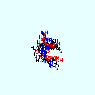 CC(C)CC(NC(=O)C(C)NC(=O)C1CCCN1C(=O)C(C)NC(=O)C(C)NC(=O)C(CCC(N)=O)NC(=O)C(CC(C)C)NC(=O)C(CC(C)C)NC(=O)C(NC(=O)C(NC(=O)CNC(=O)CN)C(C)C)C(C)O)C(=O)NC(CC(=O)O)C(=O)O